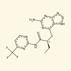 CC[C@H](Sc1nc(N)nc2nc[nH]c12)C(=O)Nc1nccc(C(F)(F)F)n1